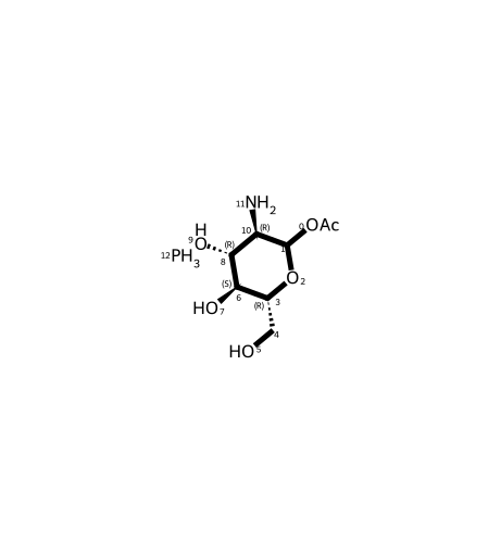 CC(=O)OC1O[C@H](CO)[C@@H](O)[C@H](O)[C@H]1N.P